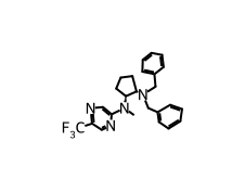 CN(c1cnc(C(F)(F)F)cn1)[C@H]1CCC[C@@H]1N(Cc1ccccc1)Cc1ccccc1